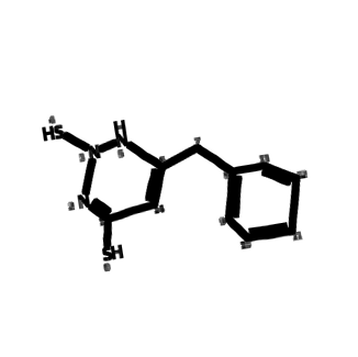 SC1=NN(S)NC(Cc2ccccc2)=C1